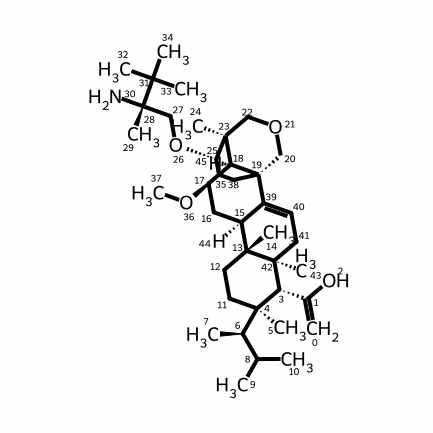 C=C(O)[C@@H]1[C@@](C)([C@H](C)C(C)C)CC[C@]2(C)[C@H]3CC[C@@H]4[C@@]5(COC[C@]4(C)[C@@H](OC[C@](C)(N)C(C)(C)C)[C@H](OC)C5)C3=CC[C@@]12C